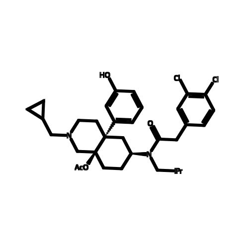 CC(=O)O[C@]12CC[C@H](N(CC(C)C)C(=O)Cc3ccc(Cl)c(Cl)c3)C[C@]1(c1cccc(O)c1)CCN(CC1CC1)C2